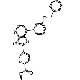 COC(=O)c1ccc(-c2nc3c(-c4cccc(OCc5ccccc5)c4)ccnc3[nH]2)cc1